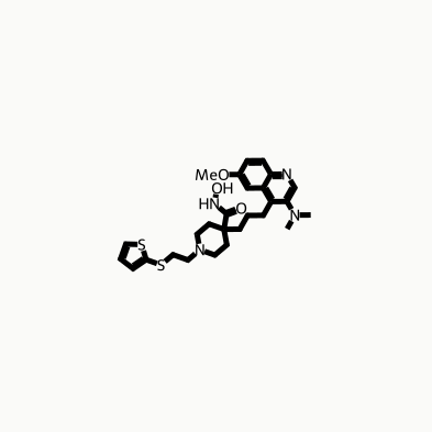 COc1ccc2ncc(N(C)C)c(CCCC3(C(=O)NO)CCN(CCSc4cccs4)CC3)c2c1